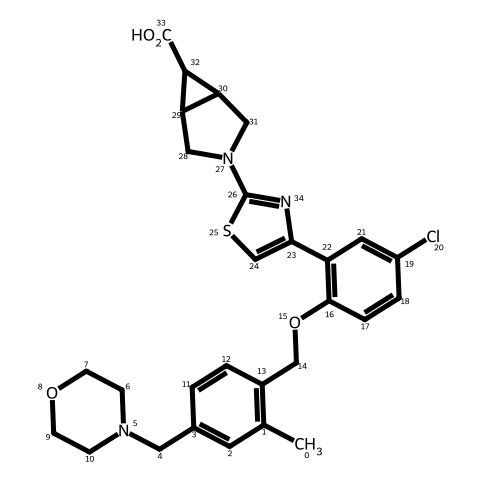 Cc1cc(CN2CCOCC2)ccc1COc1ccc(Cl)cc1-c1csc(N2CC3C(C2)C3C(=O)O)n1